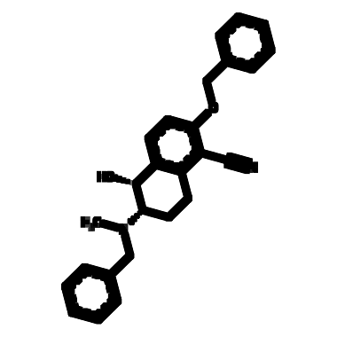 CN(Cc1ccccc1)[C@H]1CCc2c(ccc(OCc3ccccc3)c2C#N)[C@H]1O